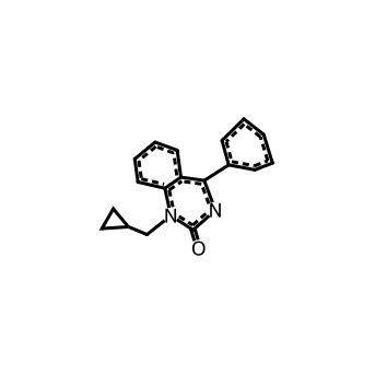 O=c1nc(-c2ccccc2)c2ccccc2n1CC1CC1